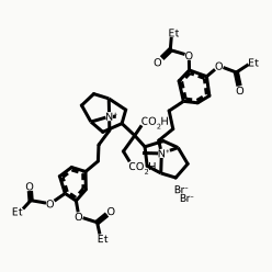 CCC(=O)Oc1ccc(CCC[N+]2(C)C3CCC2CC(C(CC(=O)O)(C(=O)O)C2CC4CCC(C2)[N+]4(C)CCCc2ccc(OC(=O)CC)c(OC(=O)CC)c2)C3)cc1OC(=O)CC.[Br-].[Br-]